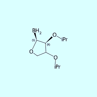 B[C@@H]1OCC(OC(C)C)[C@@H]1OC(C)C